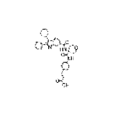 O=C(O)/C=C/c1ccc(NC(=O)C2(NC(=O)c3ccc4c(C5CCCCC5)n(-c5ccccc5)nc4c3)CCOCC2)cc1